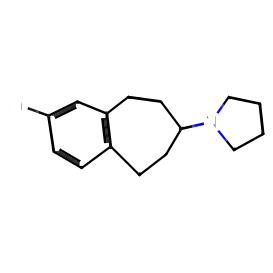 CCc1ccc2c(c1)CCC(N1CCCC1)CC2